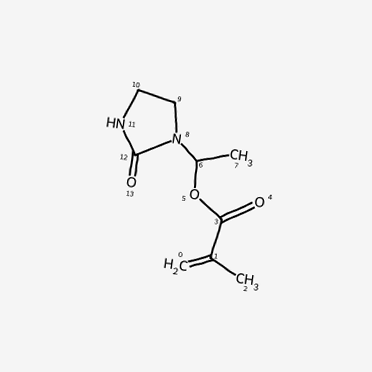 C=C(C)C(=O)OC(C)N1CCNC1=O